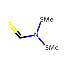 CSN([C]=S)SC